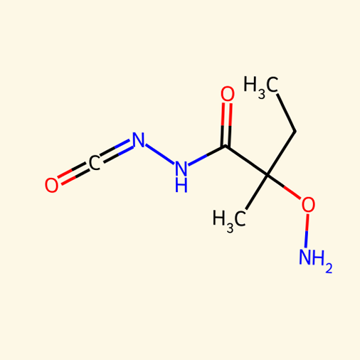 CCC(C)(ON)C(=O)NN=C=O